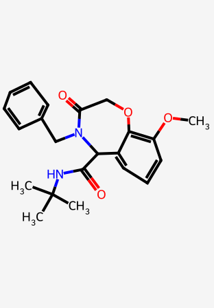 COc1cccc2c1OCC(=O)N(Cc1ccccc1)C2C(=O)NC(C)(C)C